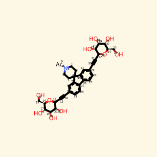 CC(=O)N1CCC2(CC1)c1cc(C#CC3O[C@H](CO)[C@@H](O)[C@H](O)[C@@H]3O)ccc1-c1ccc(C#CC3O[C@H](CO)[C@@H](O)[C@H](O)[C@@H]3O)cc12